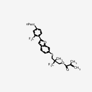 C=C(C)C(=O)OCC(C)(CSc1ccc2cc(-c3ccc(CCCCC)cc3C(F)(F)F)oc2c1)C(F)(F)F